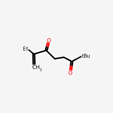 C=C(CC)C(=O)CCC(=O)C(C)(C)C